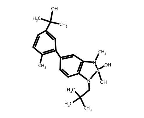 Cc1ccc(C(C)(C)O)cc1-c1ccc2c(c1)N(C)S(O)(O)N2CC(C)(C)C